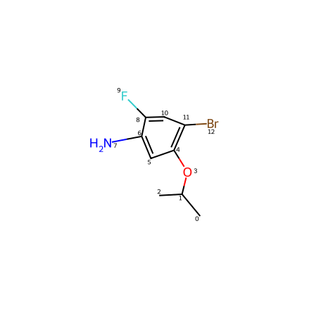 CC(C)Oc1cc(N)c(F)cc1Br